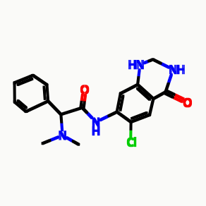 CN(C)C(C(=O)Nc1cc2c(cc1Cl)C(=O)NCN2)c1ccccc1